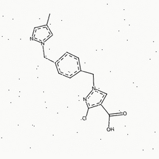 Cc1cnn(Cc2ccc(Cn3cc(C(=O)O)c(Cl)n3)cc2)c1